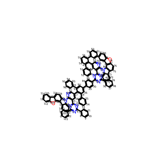 c1ccc(-c2nc(-c3ccccc3)nc(-c3cc(-c4c(-c5ccccc5)cc(-c5ccc(-c6nc(-c7ccccc7)nc(-c7cc(-c8c(-c9ccccc9)cccc8-c8ccccc8)cnc7-n7c8ccccc8c8ccc9oc%10ccccc%10c9c87)n6)cc5)cc4-c4ccccc4)cnc3-n3c4ccccc4c4c5oc6ccccc6c5ccc43)n2)cc1